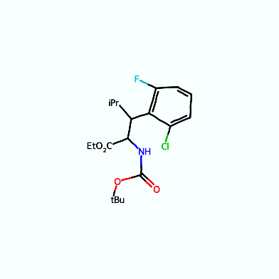 CCOC(=O)C(NC(=O)OC(C)(C)C)C(c1c(F)cccc1Cl)C(C)C